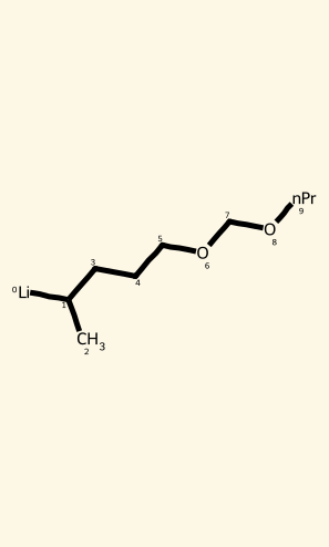 [Li][CH](C)CCCOCOCCC